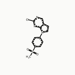 CS(=O)(=O)c1ccc(-n2ccc3cnc(Cl)nc32)cc1